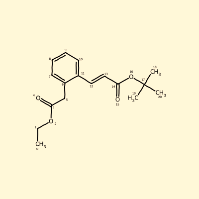 CCOC(=O)Cc1ccccc1/C=C/C(=O)OC(C)(C)C